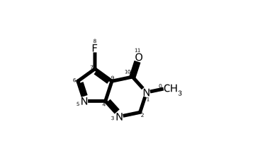 CN1CN=C2N=CC(F)=C2C1=O